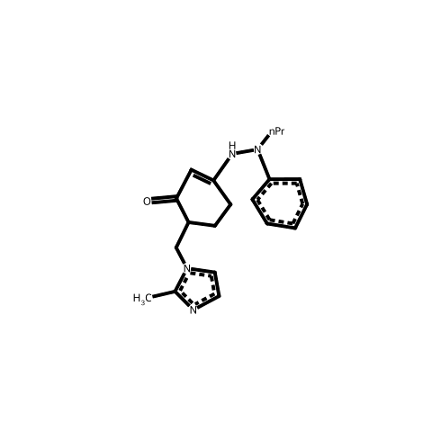 CCCN(NC1=CC(=O)C(Cn2ccnc2C)CC1)c1ccccc1